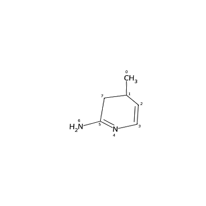 CC1C=CN=C(N)C1